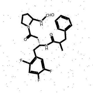 CC(Cc1ccccc1)C(=O)N[C@@H](CC(=O)N1CCCC1NC=O)Cc1cc(F)c(F)cc1F